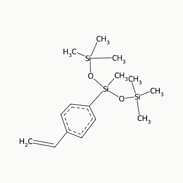 C=Cc1ccc([Si](C)(O[Si](C)(C)C)O[Si](C)(C)C)cc1